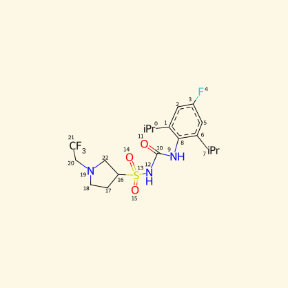 CC(C)c1cc(F)cc(C(C)C)c1NC(=O)NS(=O)(=O)C1CCN(CC(F)(F)F)C1